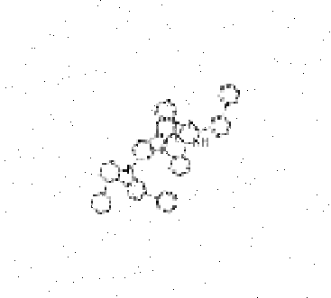 c1ccc(C2=NC(c3ccccc3-n3c4ccccc4c4ccc(-n5c6cc(-c7ccccc7)ccc6c6c(-c7ccccc7)cccc65)cc43)NC(c3cccc(-c4ccccc4)c3)=N2)cc1